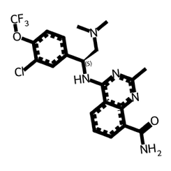 Cc1nc(N[C@H](CN(C)C)c2ccc(OC(F)(F)F)c(Cl)c2)c2cccc(C(N)=O)c2n1